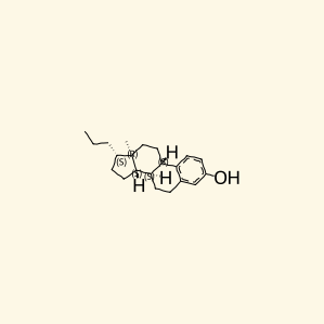 CCC[C@H]1CC[C@H]2[C@@H]3CCc4cc(O)ccc4[C@H]3CC[C@]12C